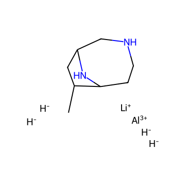 CC1CC2CNCCC1N2.[Al+3].[H-].[H-].[H-].[H-].[Li+]